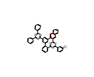 Clc1cccc(-c2nc(-c3ccccc3)nc(-c3ccccc3-c3cc(-c4ccc5ccccc5c4)cc(-c4nc(-c5ccccc5)nc(-c5ccccc5)n4)c3)n2)c1